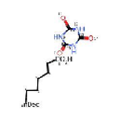 CCCCCCCCCCCCCCCC(=O)O.O=c1[nH]c(=O)[nH]c(=O)[nH]1